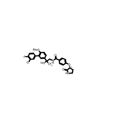 COc1ccc(C(O)(CNC(=O)c2ccc(O[C@H]3CCNC3=O)cc2)C(F)(F)F)cc1-c1ccc(F)c(Cl)c1